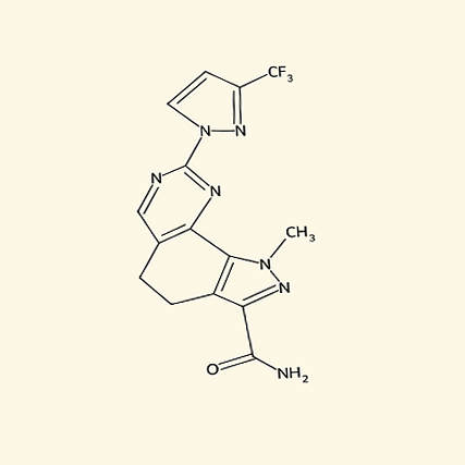 Cn1nc(C(N)=O)c2c1-c1nc(-n3ccc(C(F)(F)F)n3)ncc1CC2